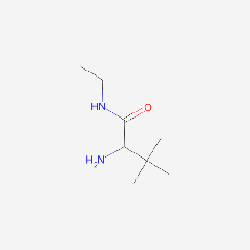 CCNC(=O)C(N)C(C)(C)C